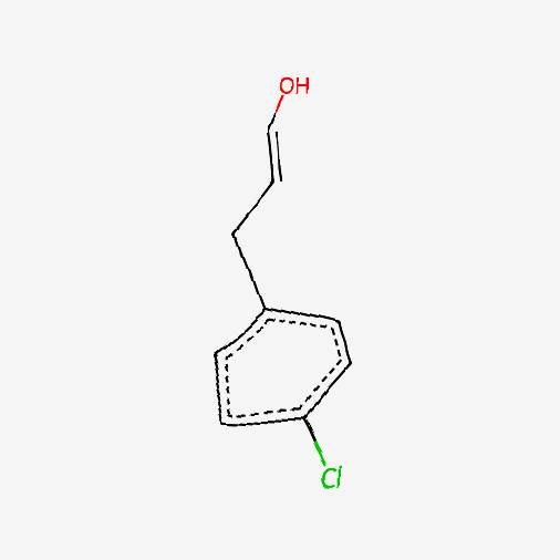 OC=CCc1ccc(Cl)cc1